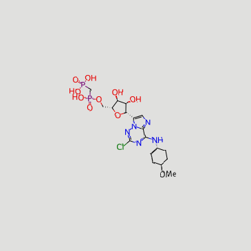 CO[C@H]1CC[C@H](Nc2nc(Cl)nn3c([C@@H]4O[C@H](COP(=O)(O)CP(=O)(O)O)[C@@H](O)[C@H]4O)cnc23)CC1